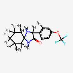 [2H]c1cc(OC(F)(F)F)ccc1C1([2H])C(=O)N([2H])C2(N1[2H])C([2H])([2H])C([2H])([2H])C([2H])([2H])C([2H])([2H])C2([2H])[2H]